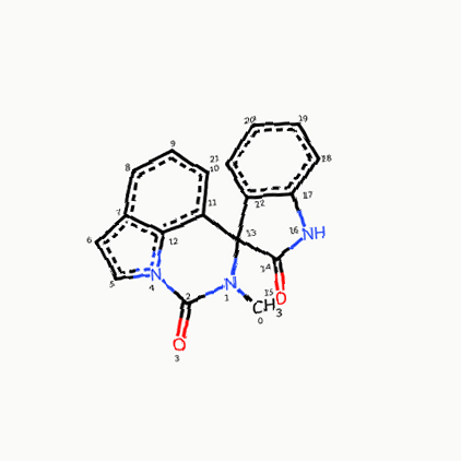 CN1C(=O)n2ccc3cccc(c32)C12C(=O)Nc1ccccc12